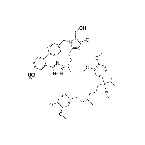 CCCCc1nc(Cl)c(CO)n1Cc1ccc(-c2ccccc2-c2nnn[n-]2)cc1.COc1ccc(CCN(C)CCCC(C#N)(c2ccc(OC)c(OC)c2)C(C)C)cc1OC.Cl.[K+]